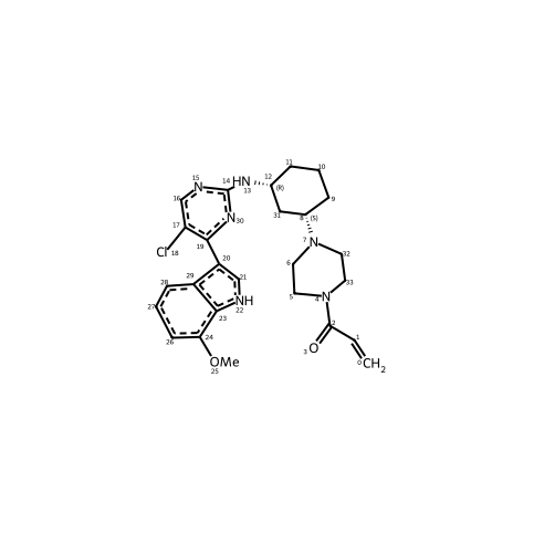 C=CC(=O)N1CCN([C@H]2CCC[C@@H](Nc3ncc(Cl)c(-c4c[nH]c5c(OC)cccc45)n3)C2)CC1